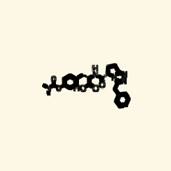 CN(C)C(=O)Oc1ccc(C[C@H](NC(=O)[C@@H]2CCc3nnc(Cc4ccccc4)n32)C(=O)O)cc1